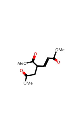 COC(=O)C=CC(CC(=O)OC)C(=O)OC